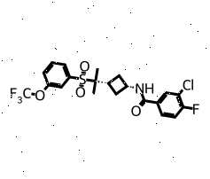 CC(C)([C@H]1C[C@@H](NC(=O)c2ccc(F)c(Cl)c2)C1)S(=O)(=O)c1cccc(OC(F)(F)F)c1